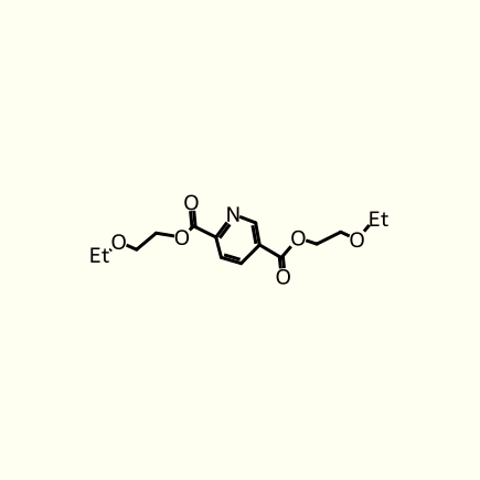 CCOCCOC(=O)c1ccc(C(=O)OCCOCC)nc1